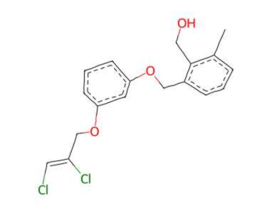 Cc1cccc(COc2cccc(OCC(Cl)=CCl)c2)c1CO